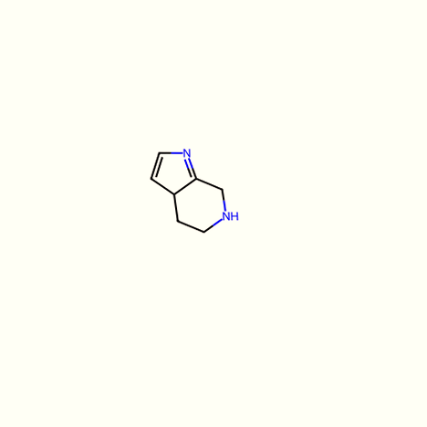 C1=CC2CCNCC2=N1